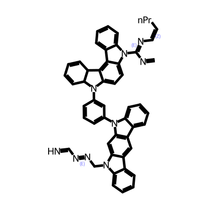 C=N/C(=N\C=C/CCC)n1c2ccccc2c2c3c(ccc21)N(c1cccc(-n2c4ccccc4c4cc5c6ccccc6n(C/N=N/C=N)c5cc42)c1)C1C=CC=CC31